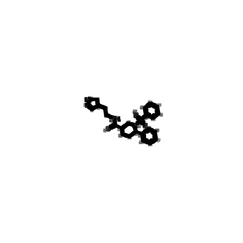 O=C(NCCC1C=NNC1)[C@@H]1CC[C@H](c2ccccc2)N(S(=O)(=O)c2ccccc2)C1